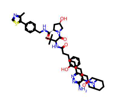 Cc1ncsc1-c1ccc(CNC(=O)[C@@H]2C[C@@H](O)CN2C(=O)C(NC(=O)CCCCCCCCC(=O)N2C3CCCC2CN(c2cc(-c4ccccc4O)nnc2N)C3)C(C)(C)C)cc1